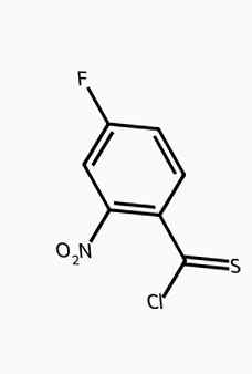 O=[N+]([O-])c1cc(F)ccc1C(=S)Cl